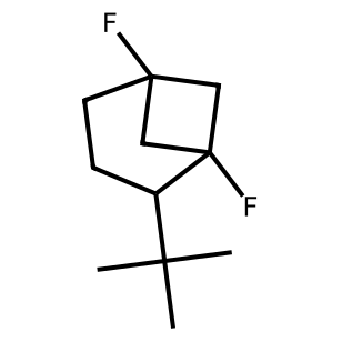 CC(C)(C)C1CCC2(F)CC1(F)C2